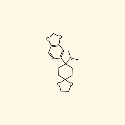 CN(C)C1(c2ccc3c(c2)OCO3)CCC2(CC1)OCCO2